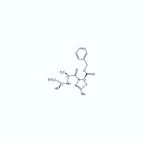 CCC[C@H](N[C@@H](C)C(=O)N1N=C(C(C)(C)C)S[C@@H]1C(=O)OCc1ccccc1)C(=O)OCC